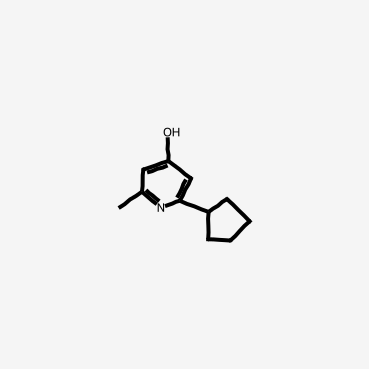 Cc1cc(O)cc(C2CCCC2)n1